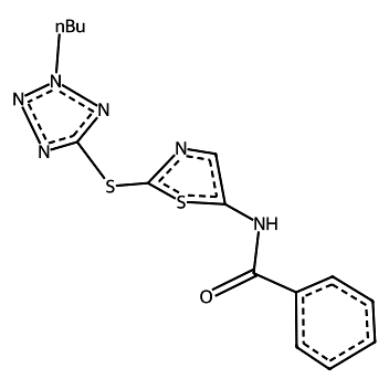 CCCCn1nnc(Sc2ncc(NC(=O)c3ccccc3)s2)n1